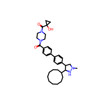 CN1CC(c2ccc(-c3ccc(C(=O)N4CCN(C(=O)C5(O)CC5)CC4)cc3)cc2)C(C2CCCCCCCCC2)N1